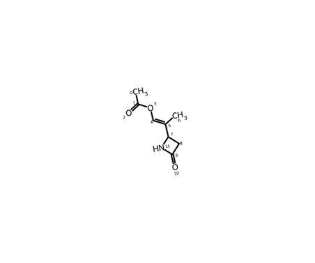 CC(=O)OC=C(C)C1CC(=O)N1